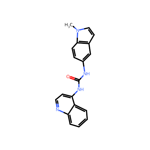 Cn1ccc2cc(NC(=O)Nc3ccnc4ccccc34)ccc21